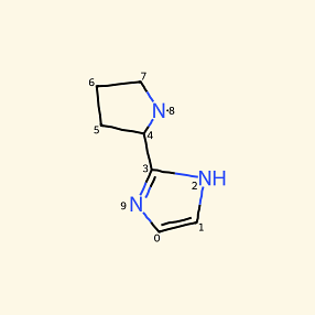 c1c[nH]c(C2CCC[N]2)n1